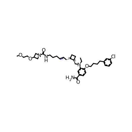 CCN(C[C@@H]1CC[C@H]1C/C=C/CCCNC(=O)N1CC(OCCOC)C1)c1cc(C(N)=O)ccc1OCCCCc1cccc(Cl)c1